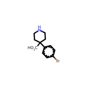 O=C(O)C1(c2ccc(Br)cc2)CCNCC1